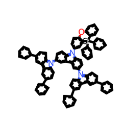 c1ccc(-c2ccc3c(c2)c2cc(-c4ccccc4)ccc2n3-c2ccc3c(c2)c2cc(-n4c5ccc(-c6ccccc6)cc5c5cc(-c6ccccc6)ccc54)ccc2n3-c2ccc3c(c2)[Si](c2ccccc2)(c2ccccc2)c2ccccc2O3)cc1